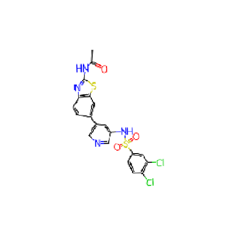 CC(=O)Nc1nc2ccc(-c3cncc(NS(=O)(=O)c4ccc(Cl)c(Cl)c4)c3)cc2s1